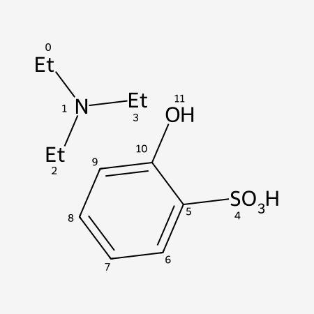 CCN(CC)CC.O=S(=O)(O)c1ccccc1O